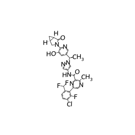 Cc1ncc(-c2c(C(F)F)ccc(Cl)c2F)nc1C(=O)Nc1cnn([C@H](C)c2cnc(N3C[C@H]4C[C@H]4C3=O)c(O)c2)c1